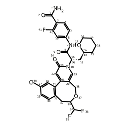 NC(=O)c1ccc(NC(=O)[C@H](C[C@@H]2CCCCO2)n2cc3c(cc2=O)-c2cc(Cl)ccc2CC(C(F)F)OC3)cc1F